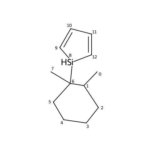 CC1CCCCC1(C)[SiH]1C=CC=C1